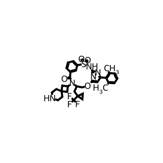 Cc1cccc(C)c1-c1cc2nc(n1)NS(=O)(=O)c1cccc(c1)C(=O)N(C1CC3(CCNCC3)C1)C(CC1(C(F)(F)F)CC1)CO2